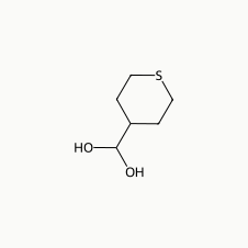 OC(O)C1CCSCC1